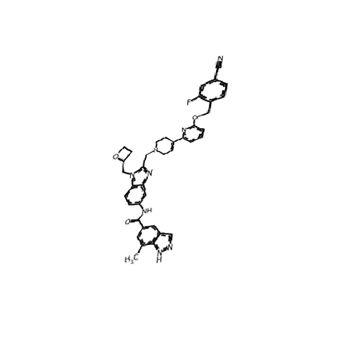 Cc1cc(C(=O)Nc2ccc3c(c2)nc(CN2CC=C(c4cccc(OCc5ccc(C#N)cc5F)n4)CC2)n3C[C@@H]2CCO2)cc2cn[nH]c12